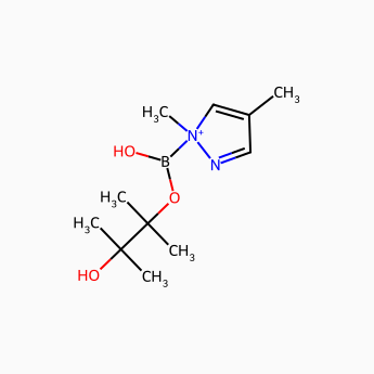 CC1=C[N+](C)(B(O)OC(C)(C)C(C)(C)O)N=C1